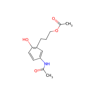 CC(=O)Nc1ccc(O)c(CCCOC(C)=O)c1